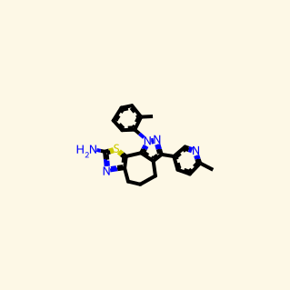 Cc1ccc(-c2nn(-c3ccccc3C)c3c2CCCc2nc(N)sc2-3)cn1